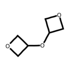 C1OCC1OC1COC1